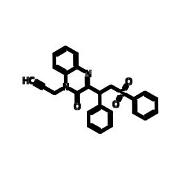 C#CCn1c(=O)c(C(CS(=O)(=O)c2ccccc2)c2ccccc2)nc2ccccc21